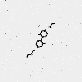 C=CC(=O)COc1ccc(-c2ccc(OC(=O)C=C)cc2F)c(F)c1